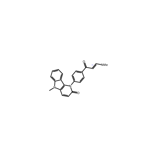 CN/C=C/C(=O)c1ccc(-n2c(=O)ccc3c2c2ccccc2n3C)cc1